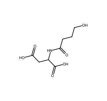 O=C(O)CC(NC(=O)CCCO)C(=O)O